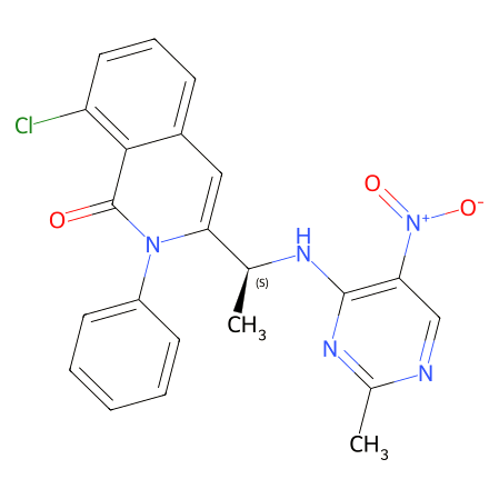 Cc1ncc([N+](=O)[O-])c(N[C@@H](C)c2cc3cccc(Cl)c3c(=O)n2-c2ccccc2)n1